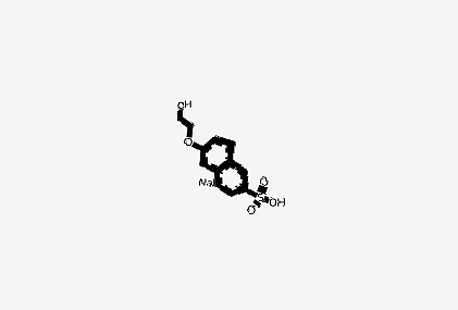 O=S(=O)(O)c1ccc2cc(OCCO)ccc2c1.[NaH]